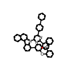 c1ccc(-c2ccc(-c3cc(-n4c5ccc6ccccc6c5c5cccc(-c6ccc7c(c6)Oc6ccccc6N7c6ccccc6)c54)nc(-c4ccccc4)n3)cc2)cc1